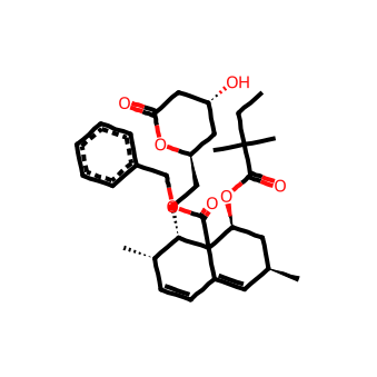 CCC(C)(C)C(=O)O[C@H]1C[C@@H](C)C=C2C=C[C@H](C)[C@H](CC[C@@H]3C[C@@H](O)CC(=O)O3)C21C(=O)OCc1ccccc1